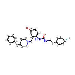 O=C(NCCc1ccc(F)cc1)Nc1ccc(O)cc1CN1CCC(Cc2ccccc2)CC1